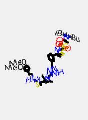 CCC(C)N(C(=O)CS(=O)(=O)c1nc(-c2cccc(-c3n[nH]c(-n4c(C)cc(-c5csc(NCCc6ccc(OC)c(OC)c6)n5)c4C)n3)c2)cs1)C(C)CC